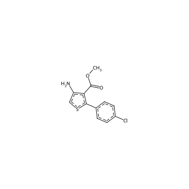 COC(=O)c1c(N)csc1-c1ccc(Cl)cc1